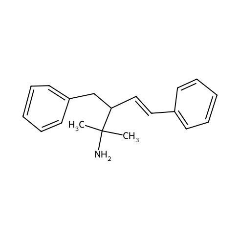 CC(C)(N)C(C=Cc1ccccc1)Cc1ccccc1